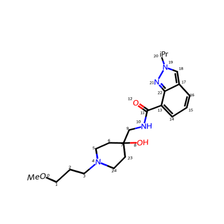 COCCCN1CCC(O)(CNC(=O)c2cccc3cn(C(C)C)nc23)CC1